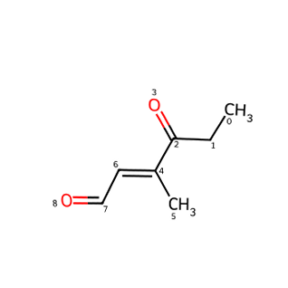 CCC(=O)/C(C)=C/C=O